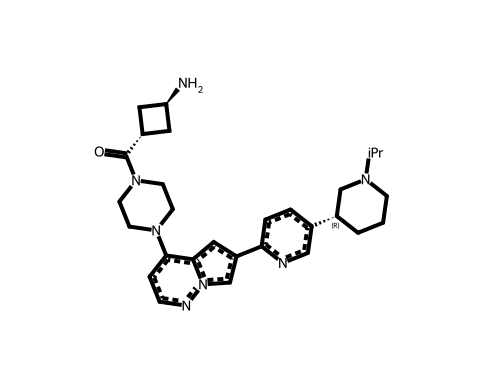 CC(C)N1CCC[C@H](c2ccc(-c3cc4c(N5CCN(C(=O)[C@H]6C[C@H](N)C6)CC5)ccnn4c3)nc2)C1